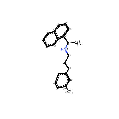 C[C@H](NCCCc1cccc(C(F)(F)F)c1)c1cccc2ccccc12